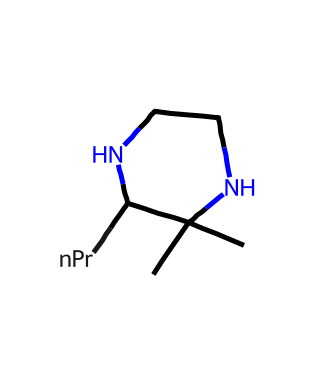 CCCC1NCCNC1(C)C